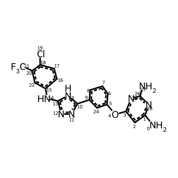 Nc1cc(Oc2cccc(-c3nnc(Nc4ccc(Cl)c(C(F)(F)F)c4)[nH]3)c2)nc(N)n1